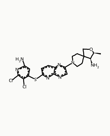 C[C@@H]1OCC2(CCN(c3cnc4nc(Sc5cc(N)nc(Cl)c5Cl)ccc4n3)CC2)[C@@H]1N